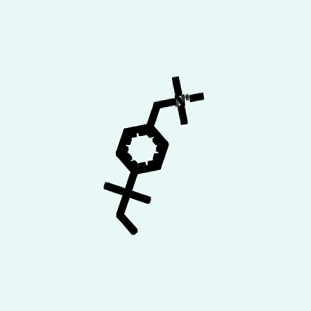 CCC(C)(C)c1ccc(C[N+](C)(C)C)cc1